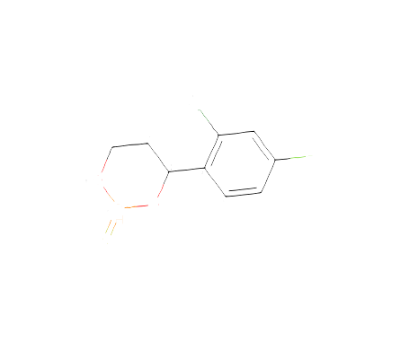 Fc1ccc(C2CCO[PH](=S)O2)c(Cl)c1